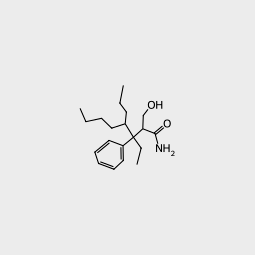 CCCCC(CCC)C(CC)(c1ccccc1)C(CO)C(N)=O